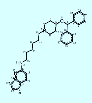 c1ccc(C(OC2CCN(CCCCCCNc3ccc4ncnn4n3)CC2)c2ccccc2)cc1